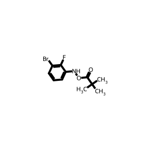 CC(C)(C)C(=O)ONc1cccc(Br)c1F